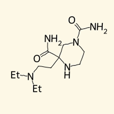 CCN(CC)CCC1(C(N)=O)CN(C(N)=O)CCN1